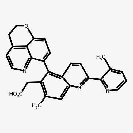 Cc1cccnc1-c1ccc2c(-c3ccc4c5c(ccnc35)CCO4)c(CC(=O)O)c(C)cc2n1